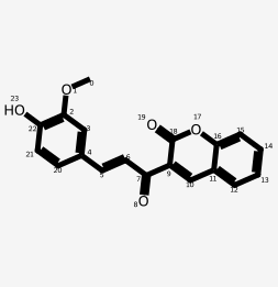 COc1cc(C=CC(=O)c2cc3ccccc3oc2=O)ccc1O